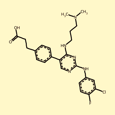 CN(C)CCCNc1nc(Nc2ccc(F)c(Cl)c2)ncc1-c1ccc(CCC(=O)O)cc1